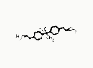 C=CCC1CCC(C(C)(C)C2CCC(CC=C)CC2)CC1